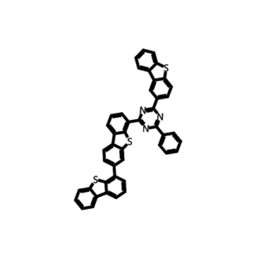 c1ccc(-c2nc(-c3ccc4sc5ccccc5c4c3)nc(-c3cccc4c3sc3cc(-c5cccc6c5sc5ccccc56)ccc34)n2)cc1